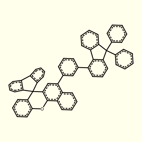 c1ccc(C2(c3ccccc3)c3ccccc3-c3c(-c4cccc(-c5cc6c(c7ccccc57)Oc5ccccc5C65c6ccccc6-c6ccccc65)c4)cccc32)cc1